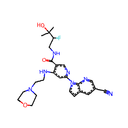 CC(C)(O)C(F)CNC(=O)c1cnc(-n2ccc3cc(C#N)cnc32)cc1NCCN1CCOCC1